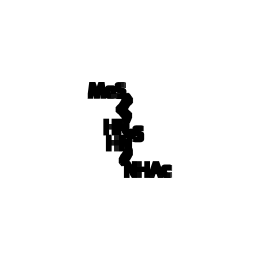 CSCCCNC(=S)NCCNC(C)=O